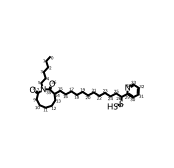 CCCCCCN1C(=O)CCCCCC(CCCCCCCCCCCC(SS)c2ccccn2)C1=O